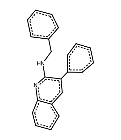 c1ccc(CNc2nc3ccccc3cc2-c2ccccc2)cc1